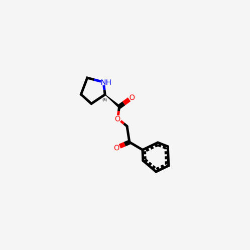 O=C(COC(=O)[C@H]1CCCN1)c1ccccc1